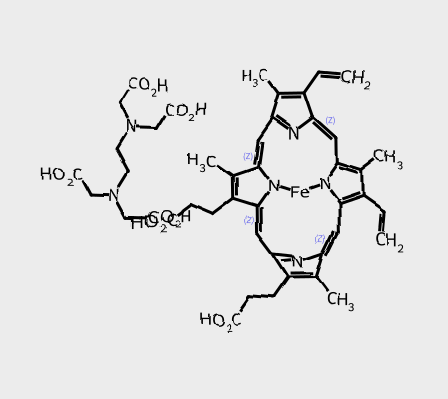 C=CC1=C(C)C2=NC/1=C\c1c(C)c(C=C)c3[n]1[Fe][n]1/c(c(C)c(CCC(=O)O)/c1=C/C1=NC(=C\3)/C(C)=C1CCC(=O)O)=C\2.O=C(O)CN(CCN(CC(=O)O)CC(=O)O)CC(=O)O